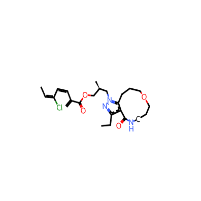 C=C(/C=C\C(Cl)=C/C)C(=O)OC[C@@H](C)Cn1nc(CC)c2c1CCCOCCCNC2=O